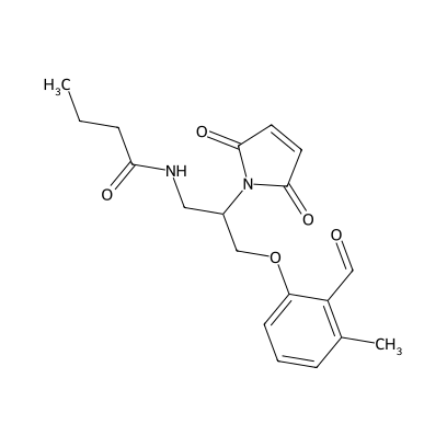 CCCC(=O)NCC(COc1cccc(C)c1C=O)N1C(=O)C=CC1=O